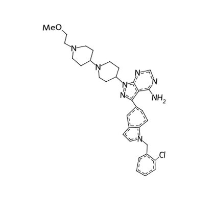 COCCN1CCC(N2CCC(n3nc(-c4ccc5c(ccn5Cc5ccccc5Cl)c4)c4c(N)ncnc43)CC2)CC1